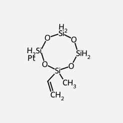 C=C[Si]1(C)O[SiH2]O[SiH2]O[SiH2]O1.[Pt]